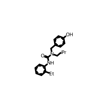 CCc1ccccc1NC(=O)N(Cc1ccc(O)cc1)CC(C)C